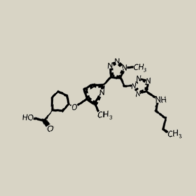 CCCCNc1nnn(Cc2c(-c3ccc(O[C@H]4CCC[C@H](C(=O)O)C4)c(C)n3)nnn2C)n1